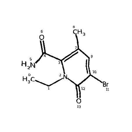 CCn1c(C(N)=O)c(C)cc(Br)c1=O